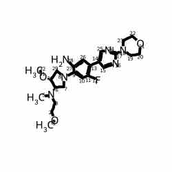 COCCN(C)[C@@H]1CN(c2cc(F)c(-c3cnc(N4CCOCC4)nc3)cc2N)C[C@H]1OC